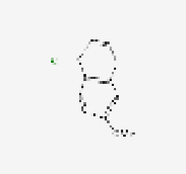 COc1ccc2c(c1)CC=[C]C2Cl